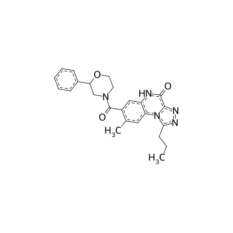 CCCc1nnc2c(=O)[nH]c3cc(C(=O)N4CCOC(c5ccccc5)C4)c(C)cc3n12